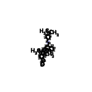 CN(C)c1ccc(/C=C/C2=CC(=C/C3=[N+](C)c4ccc(OC=O)cc4C3(C)C)/Oc3ccccc32)cc1